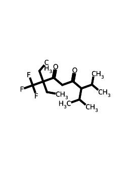 CCC(CC)(C(=O)CC(=O)C(C(C)C)C(C)C)C(F)(F)F